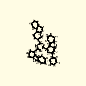 C/C=C(\C=C/c1cccc2ccccc12)c1nc(-c2cccc3oc4ccccc4c23)nc(-c2cc(-c3ccccc3)cc3oc4ccccc4c23)n1